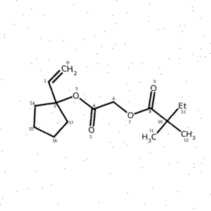 C=CC1(OC(=O)COC(=O)C(C)(C)CC)CCCC1